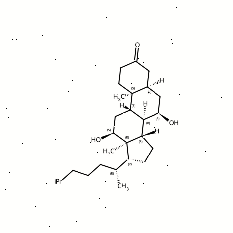 CC(C)CCC[C@@H](C)[C@H]1CC[C@H]2[C@@H]3[C@H](O)C[C@@H]4CC(=O)CC[C@]4(C)[C@H]3C[C@H](O)[C@]12C